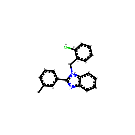 Cc1cccc(-c2nc3ccccc3n2Cc2ccccc2Cl)c1